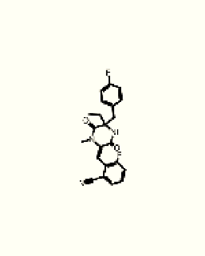 CCC1(Cc2ccc(F)cc2)NC(=O)/C(=C\c2c(F)cccc2C#N)N(C)C1=O